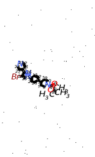 CC(C)(C)OC(=O)N1CCC(c2ccc(-n3cc(Br)c(-c4ccncc4)n3)cc2)CC1